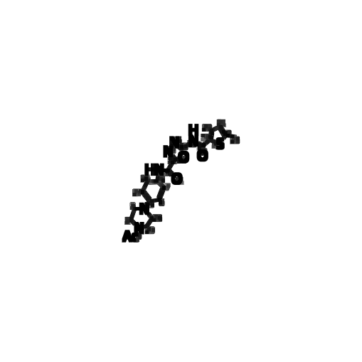 CC(=O)N1CCN(c2ccc(NC(=O)c3nnc(NC(=O)c4ccc(C)s4)o3)cc2)CC1